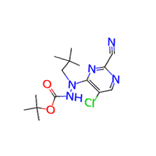 CC(C)(C)CN(NC(=O)OC(C)(C)C)c1nc(C#N)ncc1Cl